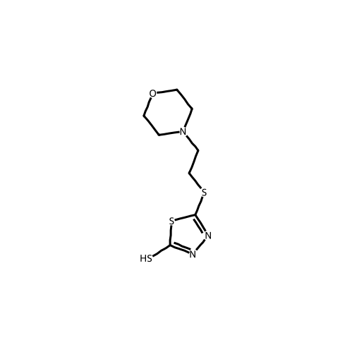 Sc1nnc(SCCN2CCOCC2)s1